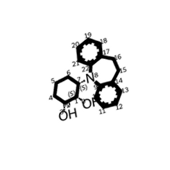 O[C@@H]1[C@H](O)CCC[C@@H]1N1c2ccccc2CCc2ccccc21